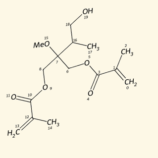 C=C(C)C(=O)OCC(COC(=O)C(=C)C)(OC)C(C)CO